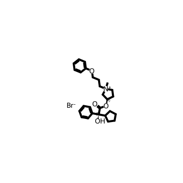 C[N+]1(CCCOc2ccccc2)CC[C@@H](OC(=O)[C@](O)(c2ccccc2)C2CCCC2)C1.[Br-]